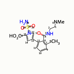 CNCCNC(=O)c1c(C)cccc1-c1cc(C(=O)O)n(S(N)(=O)=O)c1